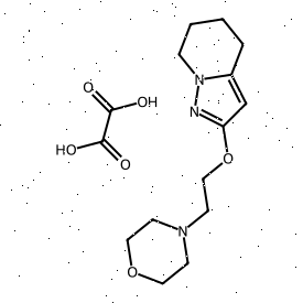 O=C(O)C(=O)O.c1c(OCCN2CCOCC2)nn2c1CCCC2